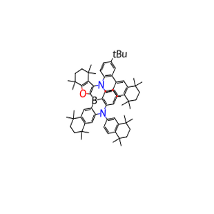 Cc1cc2c3c(c1)N(c1ccc(C(C)(C)C)cc1-c1cc4c(cc1C)C(C)(C)CCC4(C)C)c1c(oc4c1C(C)(C)CCC4(C)C)B3c1cc3c(cc1N2c1ccc2c(c1)C(C)(C)CCC2(C)C)C(C)(C)CCC3(C)C